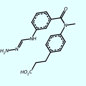 CN(C(=O)c1cccc(NC=NN)c1)c1ccc(CCC(=O)O)cc1